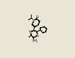 Cc1nc(-c2ccc(=O)n(C(C)C)c2)c(-c2ccccc2)nc1N